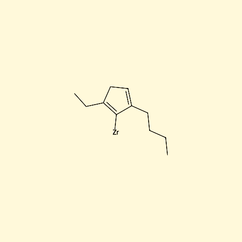 CCCCC1=CCC(CC)=[C]1[Zr]